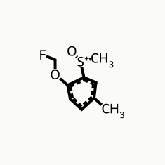 Cc1ccc(OCF)c([S+](C)[O-])c1